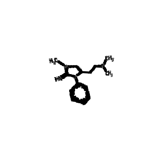 CN(C)CCC1CN(C)C(=N)N1c1ccccc1